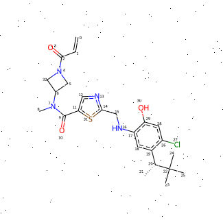 C=CC(=O)N1CC(N(C)C(=O)c2cnc(CNc3cc([C@@H](C)C(C)(C)C)c(Cl)cc3O)s2)C1